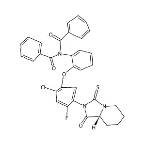 O=C1[C@H]2CCCCN2C(=S)N1c1cc(Oc2ccccc2N(C(=O)c2ccccc2)C(=O)c2ccccc2)c(Cl)cc1F